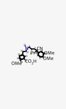 COc1ccc(C(C#N)(CCCN(C)CCc2ccc(OC)c(C(=O)O)c2)C(C)C)cc1OC